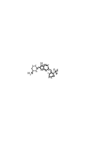 NC1CCCN(c2nc3nc(Sc4cccnc4C(F)(F)F)cnc3[nH]2)C1